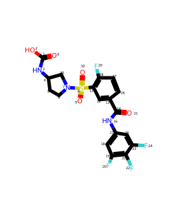 O=C(O)NC1CCN(S(=O)(=O)c2cc(C(=O)Nc3cc(F)c(F)c(F)c3)ccc2F)C1